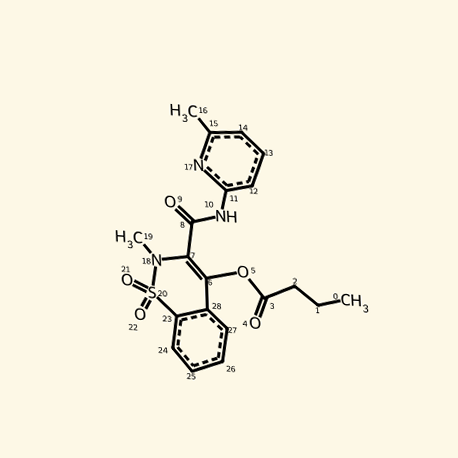 CCCC(=O)OC1=C(C(=O)Nc2cccc(C)n2)N(C)S(=O)(=O)c2ccccc21